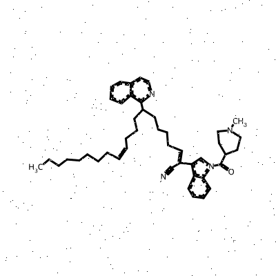 CCCCCCCC/C=C\CCCC(CCCC/C=C(\C#N)c1cn(C(=O)C2CCN(C)CC2)c2ccccc12)c1nccc2ccccc12